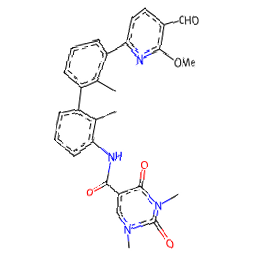 COc1nc(-c2cccc(-c3cccc(NC(=O)c4cn(C)c(=O)n(C)c4=O)c3C)c2C)ccc1C=O